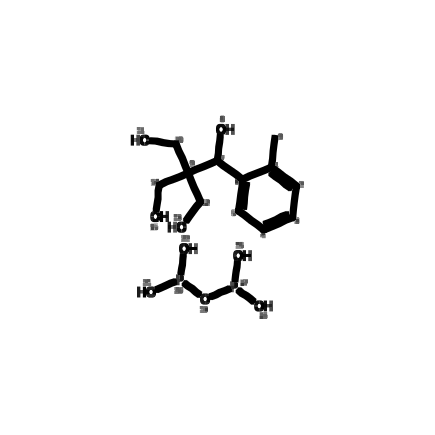 Cc1ccccc1C(O)C(CO)(CO)CO.OP(O)OP(O)O